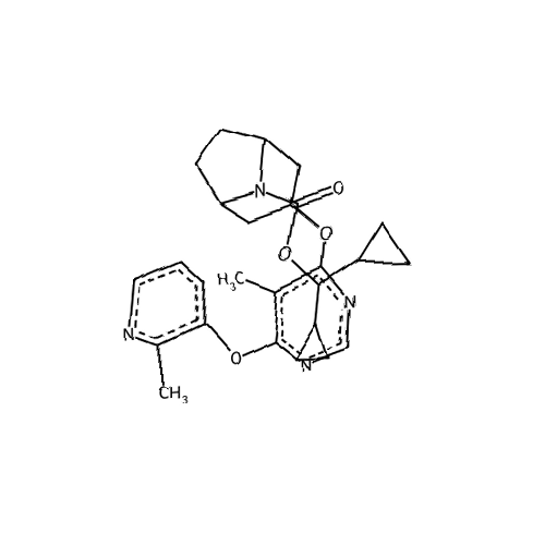 Cc1ncccc1Oc1ncnc(OC2CC3CCC(C2)N3C(=O)OC(C2CC2)C2CC2)c1C